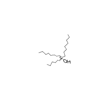 CCCCCCCC[Si](O)(CCCCCC)CCCCCCCC